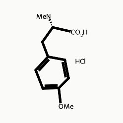 CN[C@@H](Cc1ccc(OC)cc1)C(=O)O.Cl